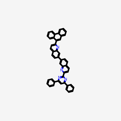 c1ccc(-c2cc(-c3ccccc3)nc(-c3ccc4ccc(-c5ccc6ccc(-c7cc8ccccc8c8ccccc78)nc6c5)cc4n3)n2)cc1